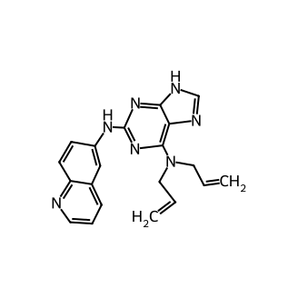 C=CCN(CC=C)c1nc(Nc2ccc3ncccc3c2)nc2[nH]cnc12